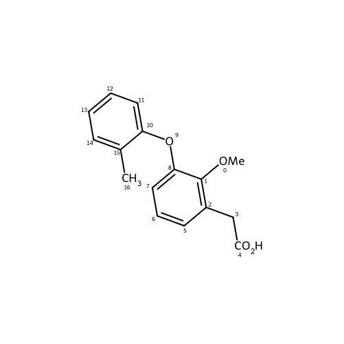 COc1c(CC(=O)O)cccc1Oc1ccccc1C